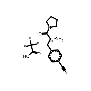 N#Cc1ccc(C[C@@H](N)C(=O)N2CCCC2)cc1.O=C(O)C(F)(F)F